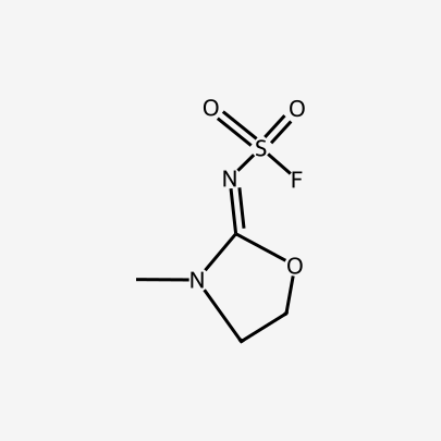 CN1CCOC1=NS(=O)(=O)F